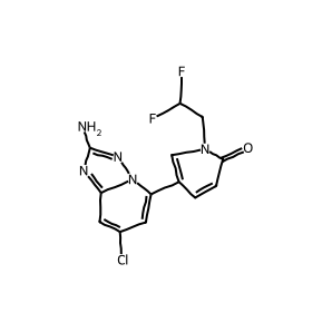 Nc1nc2cc(Cl)cc(-c3ccc(=O)n(CC(F)F)c3)n2n1